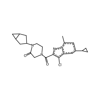 Cc1cc(C2CC2)cc2c(Cl)c(C(=O)N3CCN(C4CC5CC5C4)C(=O)C3)nn12